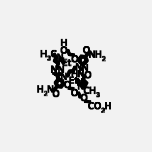 CCn1nc(C)cc1C(=O)Nc1nc2cc(C(N)=O)cc(OCCCO)c2n1C/C=C/Cn1c2nc(-c3cc(C)nn3CC)ncc2c2cc(C(N)=O)cc(OCCOCCOCCC(=O)O)c21